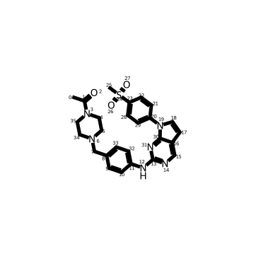 CC(=O)N1CCN(Cc2ccc(Nc3ncc4ccn(-c5ccc(S(C)(=O)=O)cc5)c4n3)cc2)CC1